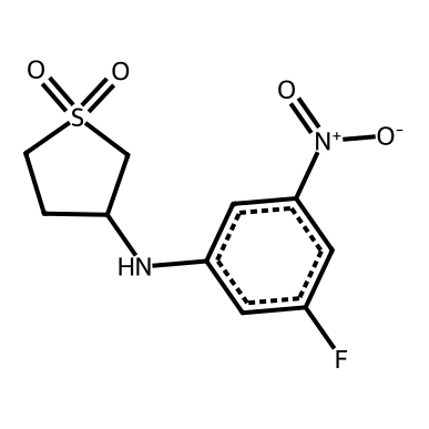 O=[N+]([O-])c1cc(F)cc(NC2CCS(=O)(=O)C2)c1